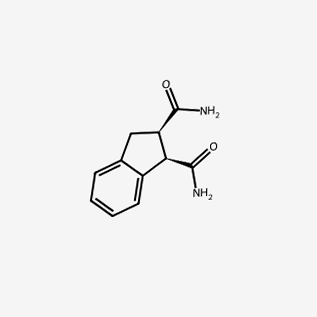 NC(=O)[C@@H]1Cc2ccccc2[C@@H]1C(N)=O